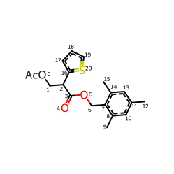 CC(=O)OCC(C(=O)OCc1c(C)cc(C)cc1C)c1cccs1